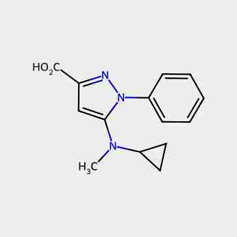 CN(c1cc(C(=O)O)nn1-c1ccccc1)C1CC1